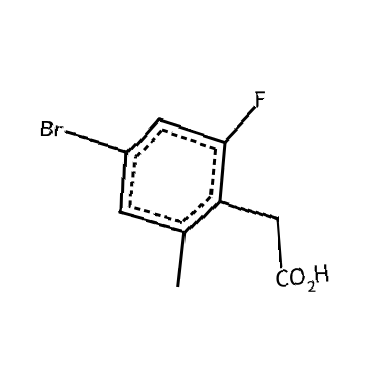 Cc1cc(Br)cc(F)c1CC(=O)O